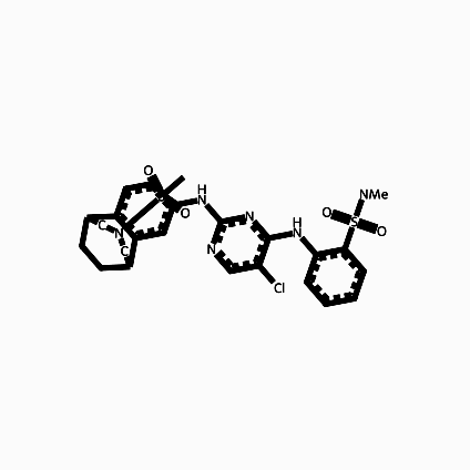 CNS(=O)(=O)c1ccccc1Nc1nc(Nc2ccc3c(c2)C2CCC3CN(S(C)(=O)=O)C2)ncc1Cl